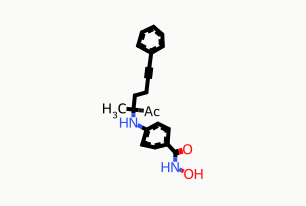 CC(=O)C(C)(CCC#Cc1ccccc1)Nc1ccc(C(=O)NO)cc1